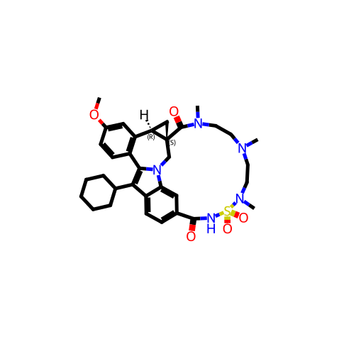 COc1ccc2c(c1)[C@H]1C[C@@]13Cn1c-2c(C2CCCCC2)c2ccc(cc21)C(=O)NS(=O)(=O)N(C)CCN(C)CCN(C)C3=O